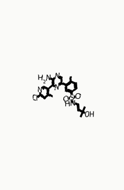 Cc1ccc(S(=O)(=O)NCCC(C)(C)O)cc1-c1cnc(N)c(-c2cnc(Cl)cc2C)n1